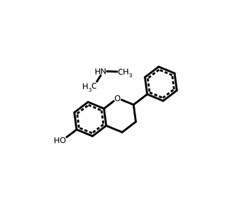 CNC.Oc1ccc2c(c1)CCC(c1ccccc1)O2